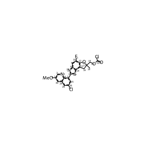 COc1cnc2c(-c3nc4cc(F)c5c(c4s3)CC(C)(COC(=O)Cl)O5)cc(Cl)cc2c1